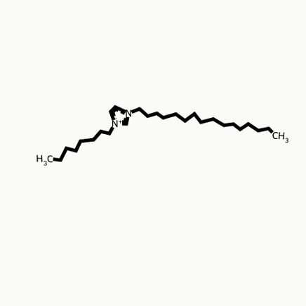 CCCCCCCCCCCCCCCCn1cc[n+](CCCCCCCC)c1